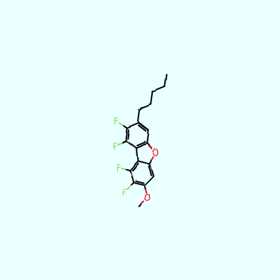 CCCCCc1cc2oc3cc(OC)c(F)c(F)c3c2c(F)c1F